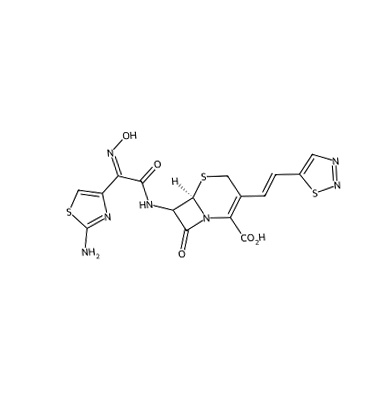 Nc1nc(/C(=N/O)C(=O)NC2C(=O)N3C(C(=O)O)=C(/C=C/c4cnns4)CS[C@H]23)cs1